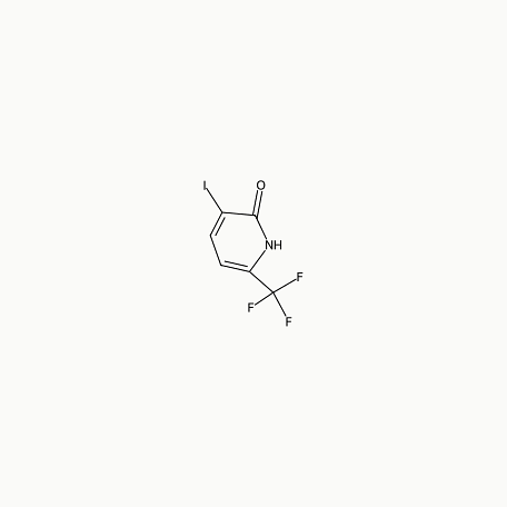 O=c1[nH]c(C(F)(F)F)ccc1I